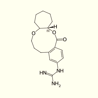 N=C(N)Nc1ccc2c(c1)CCCOC1CCCCC[C@@H]1OC2=O